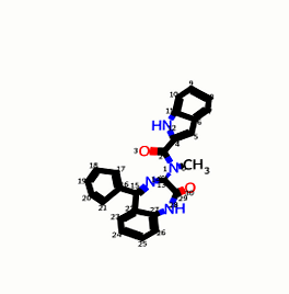 CN(C(=O)c1cc2ccccc2[nH]1)[C@@H]1N=C(c2ccccc2)c2ccccc2NC1=O